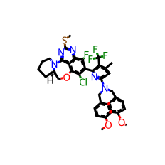 COc1ccc(CN(Cc2ccc(OC)cc2)c2cc(C)c(C(F)(F)F)c(-c3c(Cl)c4c5c(nc(SC)nc5c3F)N3CCCC[C@H]3CO4)n2)cc1